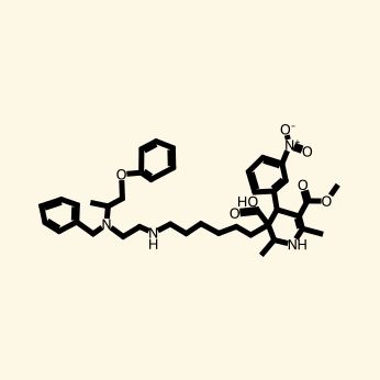 COC(=O)C1=C(C)NC(C)C(CCCCCCNCCN(Cc2ccccc2)C(C)COc2ccccc2)(C(=O)O)C1c1cccc([N+](=O)[O-])c1